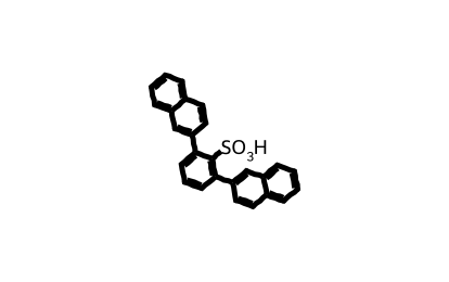 O=S(=O)(O)c1c(-c2ccc3ccccc3c2)cccc1-c1ccc2ccccc2c1